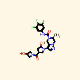 C[C@H]1Cn2ncc(N3CC(C(=O)N4CC(O)C4)CC3O)c2CN1C(=O)Nc1cc(F)c(F)c(F)c1